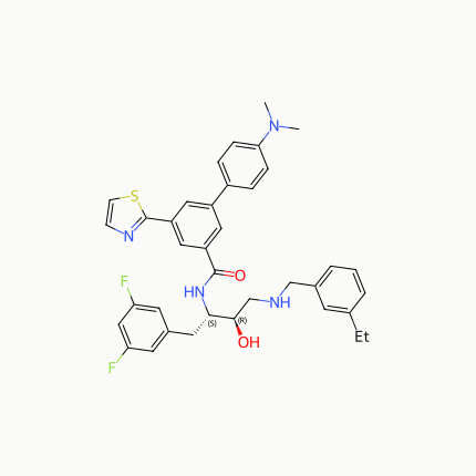 CCc1cccc(CNC[C@@H](O)[C@H](Cc2cc(F)cc(F)c2)NC(=O)c2cc(-c3ccc(N(C)C)cc3)cc(-c3nccs3)c2)c1